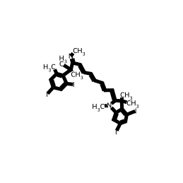 C\N=C(/C=C/C=C/C=C/C=C1\N(C)c2cc(I)cc(I)c2C1(C)C)C(C)(C)c1c(C)cc(I)cc1I